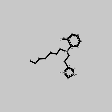 CCCCCCCN(CCc1cs[c]n1)c1ccccc1Cl